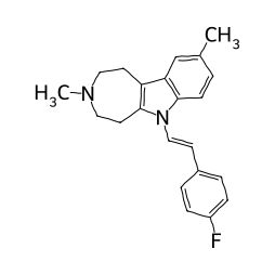 Cc1ccc2c(c1)c1c(n2/C=C/c2ccc(F)cc2)CCN(C)CC1